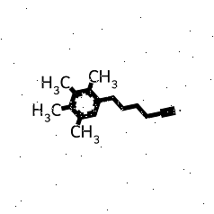 [C]#CCCCCc1cc(C)c(C)c(C)c1C